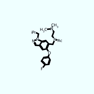 CC(=O)N(CCN(C)C)Cc1cc2c(cnn2CC(C)C)cc1Oc1ccc(F)cc1